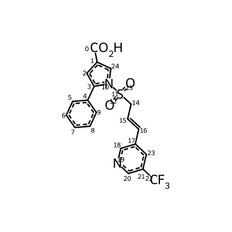 O=C(O)c1cc(-c2ccccc2)n(S(=O)(=O)CC=Cc2cncc(C(F)(F)F)c2)c1